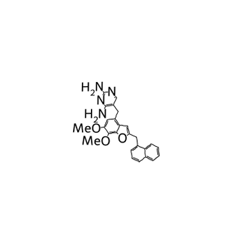 COc1cc(Cc2cnc(N)nc2N)c2cc(Cc3cccc4ccccc34)oc2c1OC